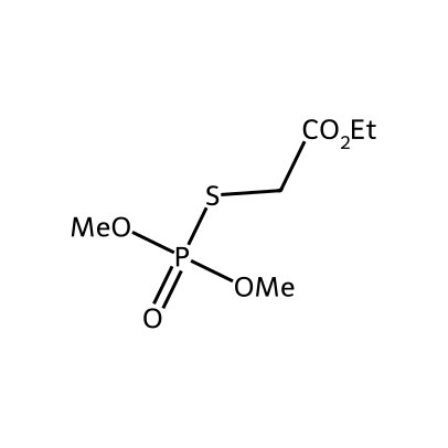 CCOC(=O)CSP(=O)(OC)OC